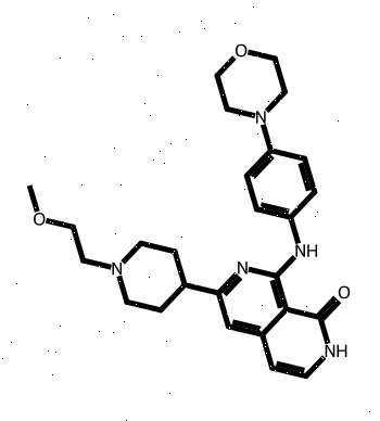 COCCN1CCC(c2cc3cc[nH]c(=O)c3c(Nc3ccc(N4CCOCC4)cc3)n2)CC1